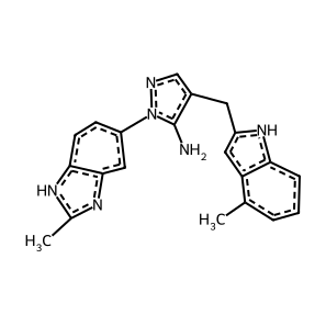 Cc1nc2cc(-n3ncc(Cc4cc5c(C)cccc5[nH]4)c3N)ccc2[nH]1